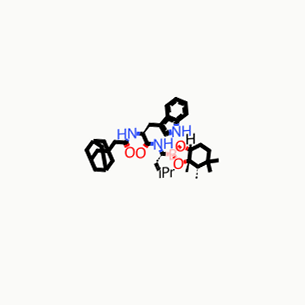 CC(C)C[C@H](NC(=O)[C@H](Cc1c[nH]c2ccccc12)NC(=O)CC12CC3CC(CC(C3)C1)C2)B1O[C@@H]2CCC(C)(C)[C@H](C)[C@]2(C)O1